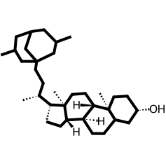 CC1CC2CC(C)CC(CC[C@@H](C)[C@H]3CC[C@H]4[C@@H]5CCC6C[C@@H](O)CC[C@]6(C)[C@H]5CC[C@]34C)(C1)C2